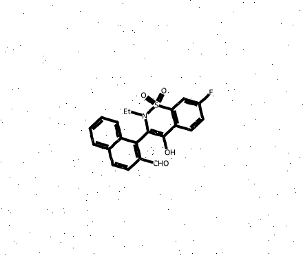 CCN1C(c2c(C=O)ccc3ccccc23)=C(O)c2ccc(F)cc2S1(=O)=O